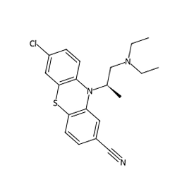 CCN(CC)C[C@@H](C)N1c2ccc(Cl)cc2Sc2ccc(C#N)cc21